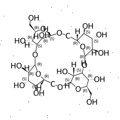 OC[C@H]1O[C@@H]2OC[C@H]3O[C@H](O[C@@H]4[C@@H](O)[C@@H](OC[C@H]5O[C@H](O[C@H]([C@H]2O)[C@@H]1O)[C@H](O)[C@@H](O)[C@@H]5O)O[C@H](CO)[C@H]4O)[C@H](O)[C@@H](O)[C@@H]3O